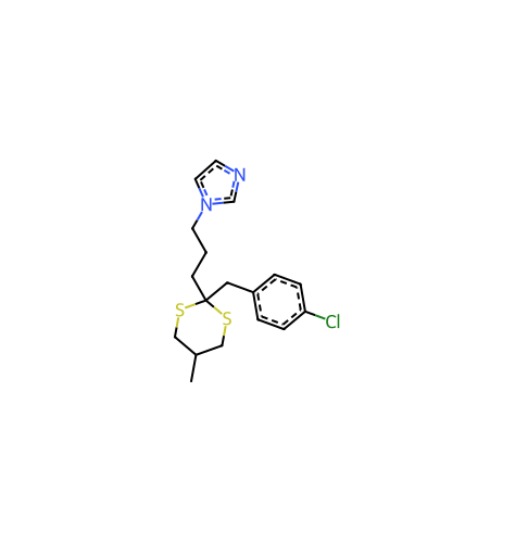 CC1CSC(CCCn2ccnc2)(Cc2ccc(Cl)cc2)SC1